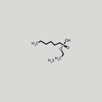 CCCCCCP(=O)(O)OCC.S